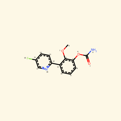 COc1c(OC(N)=O)cccc1-c1ccc(F)cn1